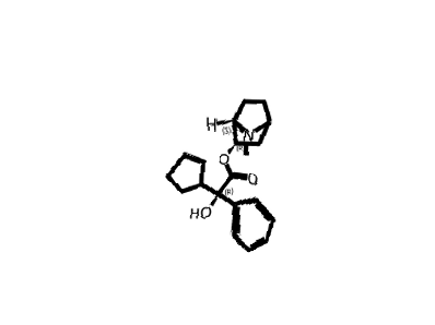 CN1C2CC[C@H]1[C@H](OC(=O)[C@](O)(c1ccccc1)C1CCCC1)C2